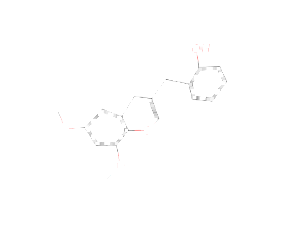 COc1cc2c(c(OC)c1)OC=C(Cc1ccccc1O)C2